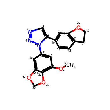 COc1cc(-n2nncc2-c2ccc3c(c2)OCC3)cc2c1OCO2